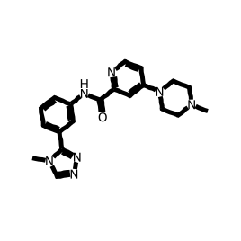 CN1CCN(c2ccnc(C(=O)Nc3cccc(-c4nncn4C)c3)c2)CC1